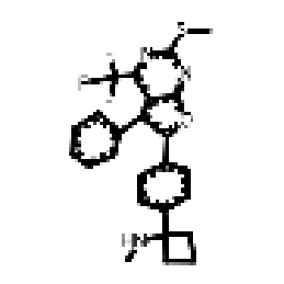 CNC1(c2ccc(-c3oc4nc(SC)nc(C(F)(F)F)c4c3-c3ccccc3)cc2)CCC1